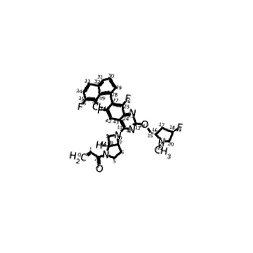 C=CC(=O)N1CCC2[C@H]1CN2c1nc(OC[C@@H]2C[C@@H](F)CN2C)nc2c(F)c(-c3cccc4ccc(F)c(Cl)c34)c(F)cc12